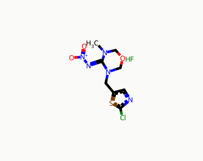 CN1COCN(Cc2cnc(Cl)s2)C1=N[N+](=O)[O-].F